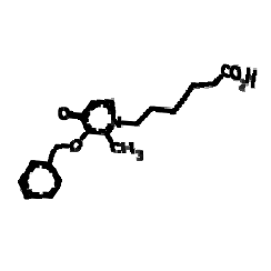 Cc1c(OCc2ccccc2)c(=O)ccn1CCCCCC(=O)O